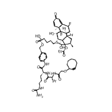 CCC(=O)O[C@]1(C(O)SCCCCP(=O)(O)OCc2ccc(NC(=O)[C@H](CCCNC(N)=O)NC(=O)C(NC(=O)COC3C#CCCCCC3)C(C)C)cc2)[C@H](C)C[C@H]2[C@@H]3C[C@H](F)C4=CC(=O)C=C[C@]4(C)[C@@]3(F)[C@@H](O)C[C@@]21C